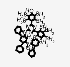 Bc1c(B)c(B)c(-c2nc(-c3c(B)c(B)c(O)c(B)c3B)nc(-n3c4ccccc4c4cc(-c5ccccc5)c(N(C)c5ccccc5-c5ccccc5)cc43)n2)c(B)c1B